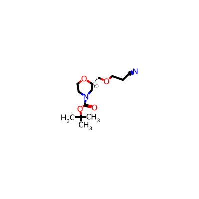 CC(C)(C)OC(=O)N1CCO[C@H](COCCC#N)C1